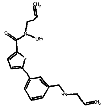 C=CCNCc1cccc(-c2ccc(C(=O)N(O)CC=C)s2)c1